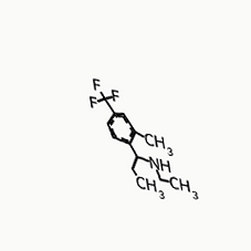 CCNC(CC)c1ccc(C(F)(F)F)cc1C